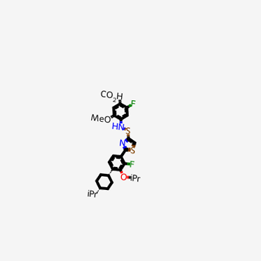 COc1cc(C(=O)O)c(F)cc1NSc1csc(-c2ccc([C@H]3CC[C@@H](C(C)C)CC3)c(OC(C)C)c2F)n1